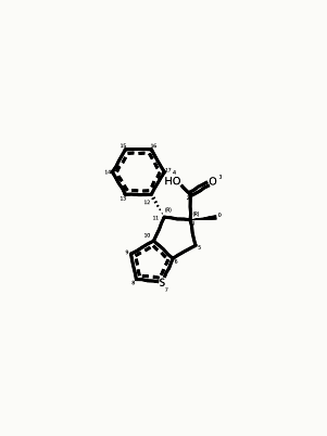 C[C@@]1(C(=O)O)Cc2sccc2[C@@H]1c1ccccc1